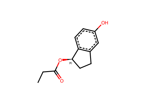 CCC(=O)O[C@@H]1CCc2cc(O)ccc21